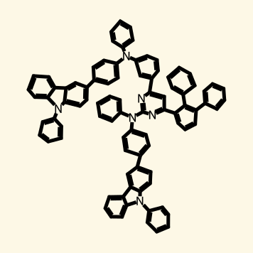 c1ccc(-c2cccc(-c3cc(-c4cccc(N(c5ccccc5)c5ccc(-c6ccc7c(c6)c6ccccc6n7-c6ccccc6)cc5)c4)nc(N(c4ccccc4)c4ccc(-c5ccc6c(c5)c5ccccc5n6-c5ccccc5)cc4)n3)c2-c2ccccc2)cc1